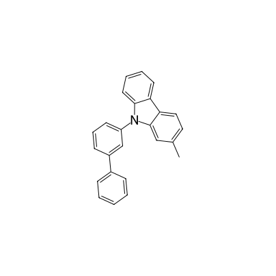 Cc1ccc2c3ccccc3n(-c3cccc(-c4ccccc4)c3)c2c1